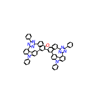 c1ccc(-c2nc(-c3ccccc3)nc(-c3cccc4c3c3cc(-c5ccc6oc7ccc(-c8ccc9c(c8)c8c(-c%10nc(-c%11ccccc%11)nc(-c%11ccccc%11)n%10)cccc8n9-c8ccccc8)cc7c6c5)ccc3n4-c3ccccc3)n2)cc1